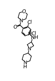 Cl.O=C(c1ccc(NC2CN(C3CCNCC3)C2)cc1Cl)N1CCOCC1